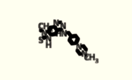 CCn1c(=S)[nH]c2cc3c(NCc4ccc(N5CCN(C)CC5)cc4)ncnc3cc21